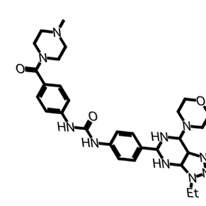 CCN1NNC2C(N3CCOCC3)NC(c3ccc(NC(=O)Nc4ccc(C(=O)N5CCN(C)CC5)cc4)cc3)NC21